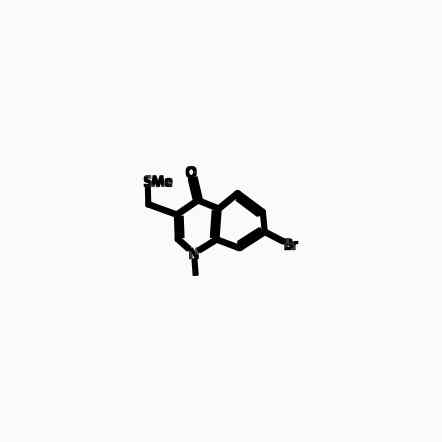 CSCc1cn(C)c2cc(Br)ccc2c1=O